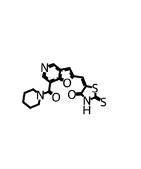 O=C1NC(=S)SC1=Cc1cc2cncc(C(=O)N3CCCCC3)c2o1